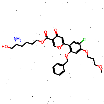 COCCCOc1cc(OCc2ccccc2)c(-c2cc(=O)c(C(=O)OCCCC[C@@H](N)CO)co2)cc1Cl